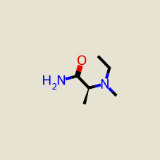 CCN(C)[C@@H](C)C(N)=O